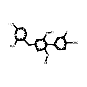 CCOc1cc(Cc2cnc(N)nc2N)cc(OCC)c1-c1ccc(C=O)c(F)c1